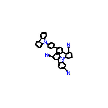 N#Cc1ccc2c(c1)c1ccc(C#N)cc1n2-c1cccc(C#N)c1-c1ccc(-c2ccc(-n3c4ccccc4c4ccccc43)cc2)cc1